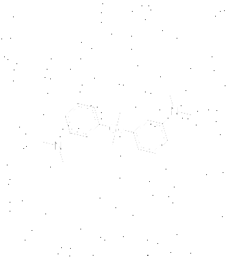 CN(C)c1ccc[c]([Ge]([CH3])([CH3])[c]2cccc(N(C)C)c2)c1